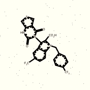 O=C(O)c1c(-n2c(=O)[nH]c3cscc3c2=O)c2cc(C(F)(F)F)ccc2n1Cc1ccc(C(F)(F)F)cc1